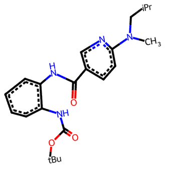 CC(C)CN(C)c1ccc(C(=O)Nc2ccccc2NC(=O)OC(C)(C)C)cn1